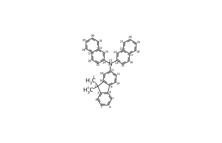 CC1(C)c2ccccc2-c2ccc(N(c3ccc4ccccc4c3)c3ccc4ccccc4c3)cc21